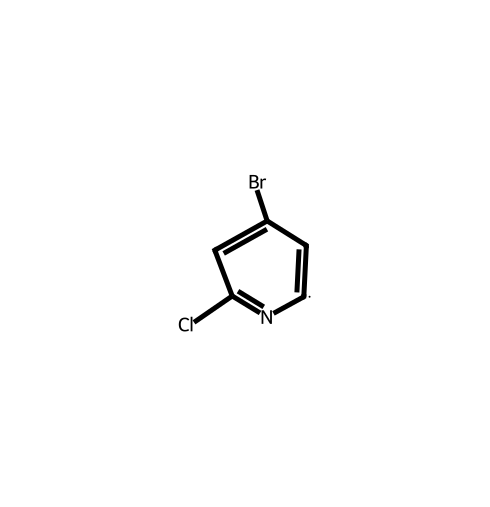 Clc1cc(Br)c[c]n1